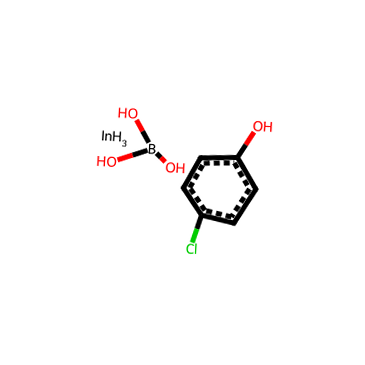 OB(O)O.Oc1ccc(Cl)cc1.[InH3]